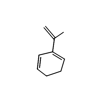 C=C(C)C1=C[CH]CC=C1